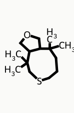 CC1(C)CCCSCC(C)(C)C2COCC21